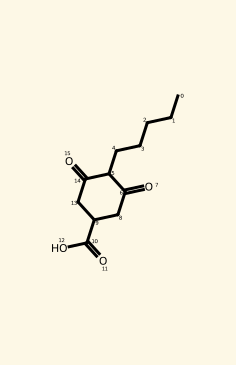 CCCCCC1C(=O)CC(C(=O)O)CC1=O